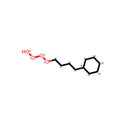 OOOOCCCCC1CCCCC1